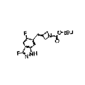 CC(C)(C)OC(=O)N1CC(=Cc2cc3[nH]nc(F)c3cc2F)C1